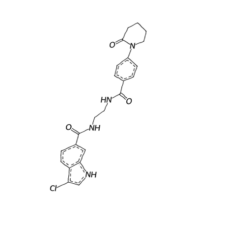 O=C(NCCNC(=O)c1ccc2c(Cl)c[nH]c2c1)c1ccc(N2CCCCC2=O)cc1